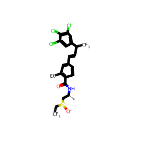 CCc1cc(/C=C/C(c2cc(Cl)c(Cl)c(Cl)c2)C(F)(F)F)ccc1C(=O)N[C@H](C)C[S+]([O-])CC(F)(F)F